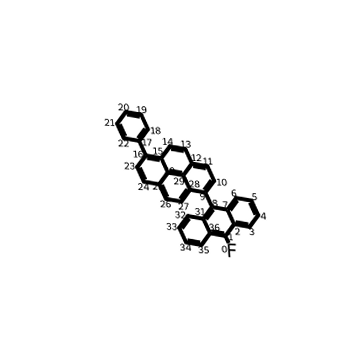 Fc1c2ccccc2c(-c2ccc3ccc4c(-c5ccccc5)ccc5ccc2c3c54)c2ccccc12